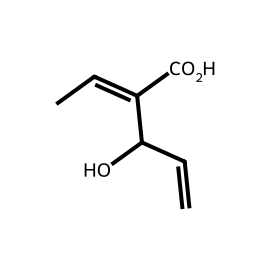 C=CC(O)/C(=C\C)C(=O)O